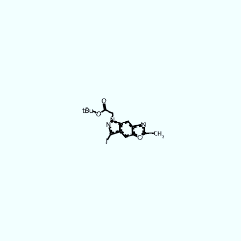 Cc1nc2cc3c(cc2o1)c(I)nn3CC(=O)OC(C)(C)C